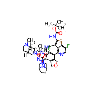 CN1CC[C@H]2CN(c3nc(N4C5CCC4CN(C(=O)OC(C)(C)C)C5)c4c5c(c(-c6ncc(F)c7sc(NC(=O)OC(C)(C)C)c(C#N)c67)c(F)c4n3)COC5)C[C@H]21